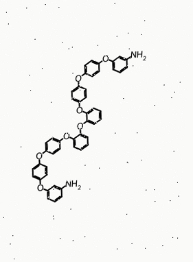 Nc1cccc(Oc2ccc(Oc3ccc(Oc4ccccc4Oc4ccccc4Oc4ccc(Oc5ccc(Oc6cccc(N)c6)cc5)cc4)cc3)cc2)c1